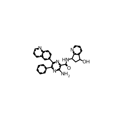 Nc1nc(-c2ccccc2)c(-c2ccc3ncccc3c2)nc1C(=O)NC1CC(O)c2cccnc21